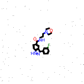 O=C(NCCCN1CCOCC1)c1ccc2[nH]nc(-c3cccc(F)c3)c2c1